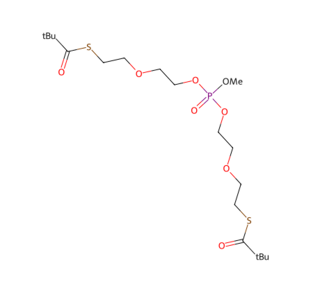 COP(=O)(OCCOCCSC(=O)C(C)(C)C)OCCOCCSC(=O)C(C)(C)C